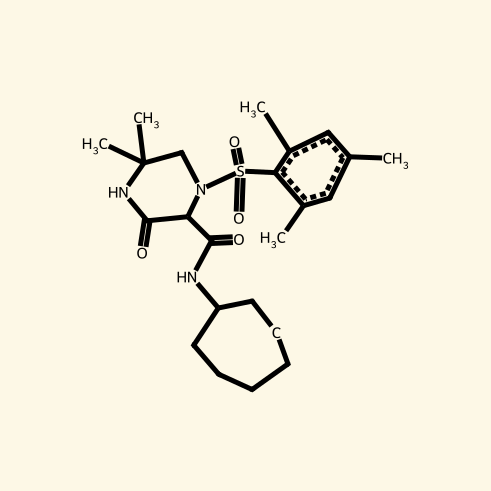 Cc1cc(C)c(S(=O)(=O)N2CC(C)(C)NC(=O)C2C(=O)NC2CCCCCC2)c(C)c1